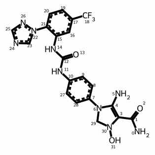 NC(=O)C1=C(N)N(c2ccc(NC(=O)Nc3cc(C(F)(F)F)ccc3-n3cncn3)cc2)CN1O